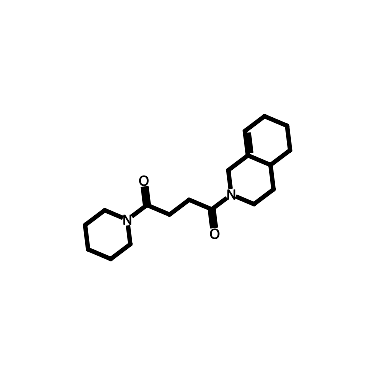 O=C(CCC(=O)N1CCC2CCCC=C2C1)N1CCCCC1